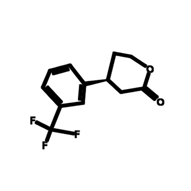 O=C1C[C@@H](c2cccc(C(F)(F)F)c2)CCO1